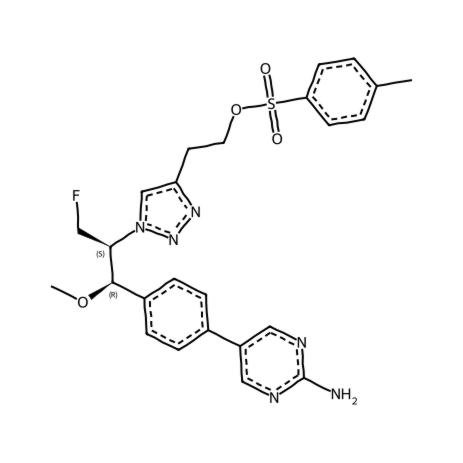 CO[C@H](c1ccc(-c2cnc(N)nc2)cc1)[C@@H](CF)n1cc(CCOS(=O)(=O)c2ccc(C)cc2)nn1